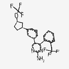 Nc1ncc(-c2cccc([C@H]3CCC(OC(F)(F)F)C3)c2)c(-c2ccccc2C(F)(F)F)n1